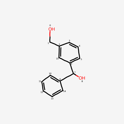 OCc1cccc(C(O)c2ccccc2)c1